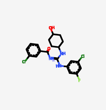 O=C(/N=C(/Nc1cc(F)cc(Cl)c1)NC1CCC(O)CC1)c1cccc(Cl)c1